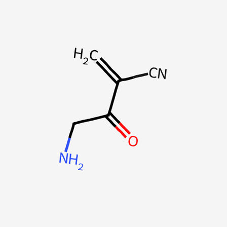 C=C(C#N)C(=O)CN